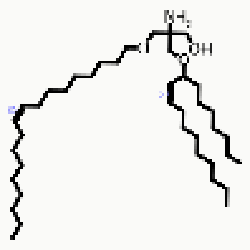 CCCCCCCC/C=C\CCCCCCCCOCC(N)(CO)COC(/C=C\CCCCCCCC)CCCCCCC